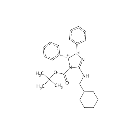 CC(C)(C)OC(=O)N1C(NCC2CCCCC2)=N[C@@H](c2ccccc2)[C@H]1c1ccccc1